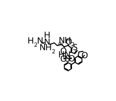 NC(N)NCCC[C@H](N)C(=O)C(=O)c1sccc1NS(=O)(=O)c1ccccc1-c1ccc2c(c1)CCO2